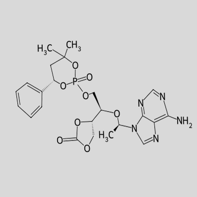 C[C@@H](O[C@H](COP1(=O)O[C@H](c2ccccc2)CC(C)(C)O1)[C@@H]1COC(=O)O1)n1cnc2c(N)ncnc21